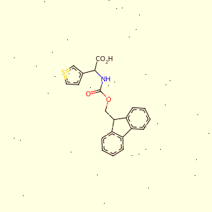 O=C(NC(C(=O)O)c1ccsc1)OCC1c2ccccc2-c2ccccc21